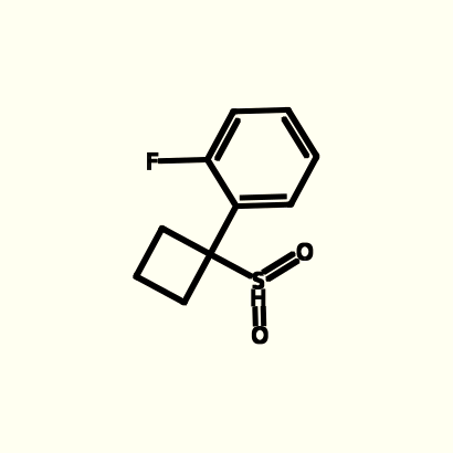 O=[SH](=O)C1(c2ccccc2F)CCC1